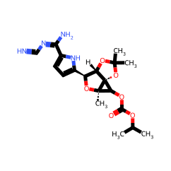 CC(C)OC(=O)OC1[C@@]2(C)O[C@@H](c3ccc(/C(N)=N\C=N)[nH]3)[C@@H]3OC(C)(C)O[C@@]132